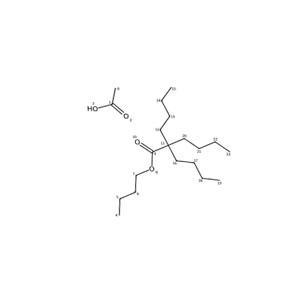 CC(=O)O.CCCCOC(=O)C(CCCC)(CCCC)CCCC